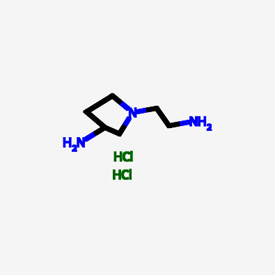 Cl.Cl.NCCN1CCC(N)C1